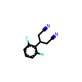 N#CCC(CC#N)c1c(F)cccc1F